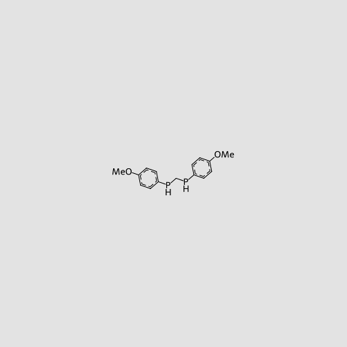 COc1ccc(PCPc2ccc(OC)cc2)cc1